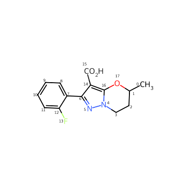 CC1CCn2nc(-c3ccccc3F)c(C(=O)O)c2O1